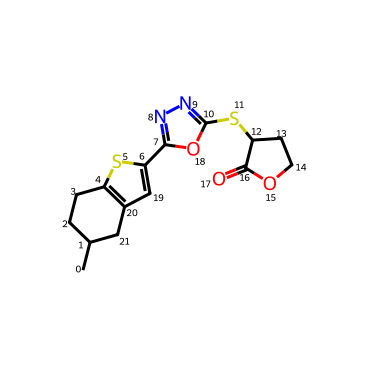 CC1CCc2sc(-c3nnc(SC4CCOC4=O)o3)cc2C1